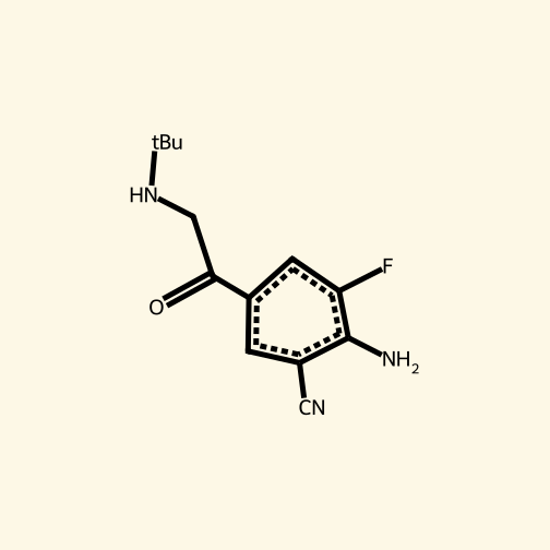 CC(C)(C)NCC(=O)c1cc(F)c(N)c(C#N)c1